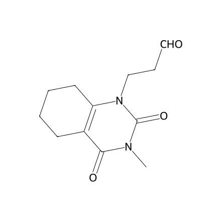 Cn1c(=O)c2c(n(CCC=O)c1=O)CCCC2